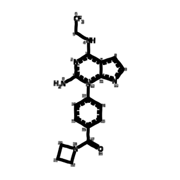 Nc1nc(NCC(F)(F)F)c2ccnc-2n1-c1ccc(C(=O)N2CCC2)cc1